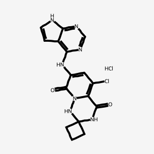 Cl.O=C1NC2(CCC2)Nn2c1c(Cl)cc(Nc1ncnc3[nH]ccc13)c2=O